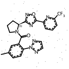 Cc1ccc(-n2nccn2)c(C(=O)N2CCC[C@H]2c2noc(-c3cccc(C(F)(F)F)n3)n2)c1